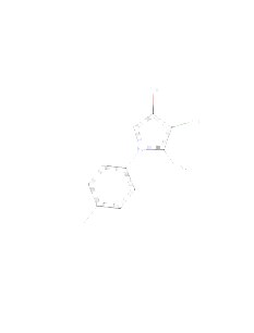 Cc1ccc(-n2cc(Br)c(Cl)c2C#N)cc1